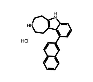 Cl.c1ccc2cc(-c3cccc4[nH]c5c(c34)CCNCC5)ccc2c1